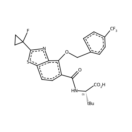 CC(C)(C)[C@H](NC(=O)c1ccc2sc(C3(F)CC3)nc2c1OCc1ccc(C(F)(F)F)cc1)C(=O)O